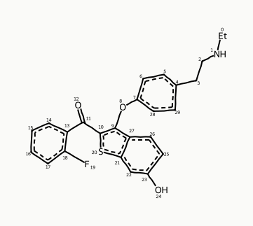 CCNCCc1ccc(Oc2c(C(=O)c3ccccc3F)sc3cc(O)ccc23)cc1